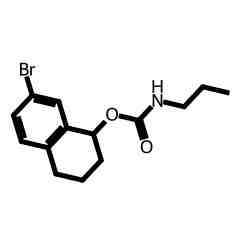 CCCNC(=O)OC1CCCc2ccc(Br)cc21